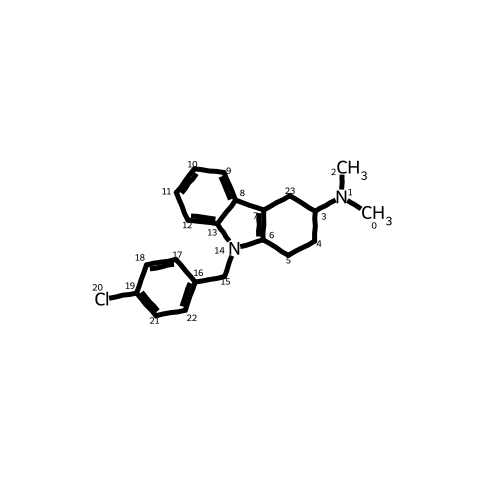 CN(C)C1CCc2c(c3ccccc3n2Cc2ccc(Cl)cc2)C1